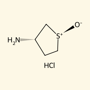 Cl.N[C@H]1CC[S@+]([O-])C1